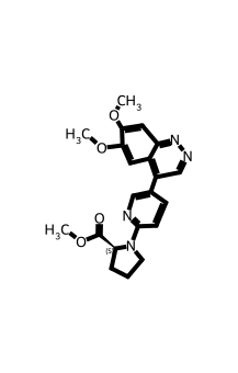 COC(=O)[C@@H]1CCCN1c1ccc(-c2cnnc3cc(OC)c(OC)cc23)cn1